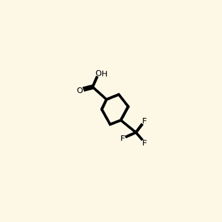 O=C(O)C1CCC(C(F)(F)F)CC1